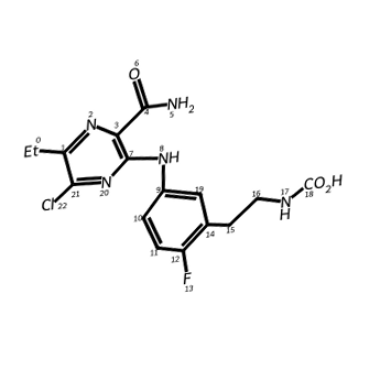 CCc1nc(C(N)=O)c(Nc2ccc(F)c(CCNC(=O)O)c2)nc1Cl